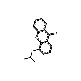 CC(C)Sc1cccc2c(=O)c3ccccc3sc12